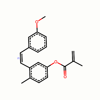 C=C(C)C(=O)Oc1ccc(C)c(/C=C\c2cccc(OC)c2)c1